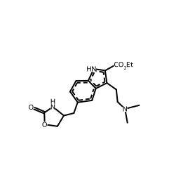 CCOC(=O)c1[nH]c2ccc(CC3COC(=O)N3)cc2c1CCN(C)C